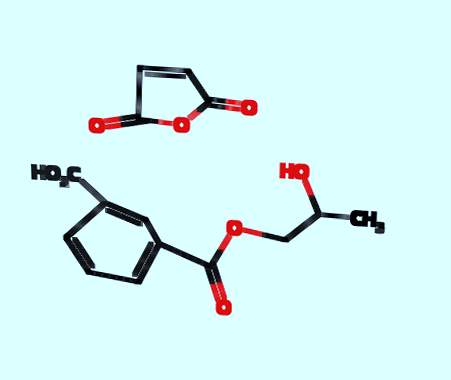 CC(O)COC(=O)c1cccc(C(=O)O)c1.O=C1C=CC(=O)O1